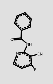 N#Cc1c(F)ccnc1NC(=O)c1ccccc1